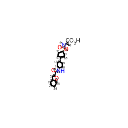 C[C@@H](C(=O)O)N(C)S(=O)(=O)c1ccc(-c2ccc(NC(=O)c3cc4ccccc4o3)cc2)cc1